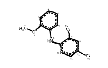 COc1ccccc1Nc1ncc(Cl)cc1Cl